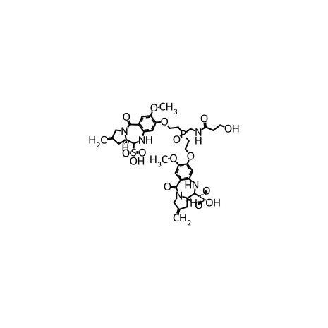 C=C1C[C@H]2C(S(=O)(=O)O)Nc3cc(OCCP(=O)(CCOc4cc5c(cc4OC)C(=O)N4CC(=C)C[C@H]4C(S(=O)(=O)O)N5)CNC(=O)CCO)c(OC)cc3C(=O)N2C1